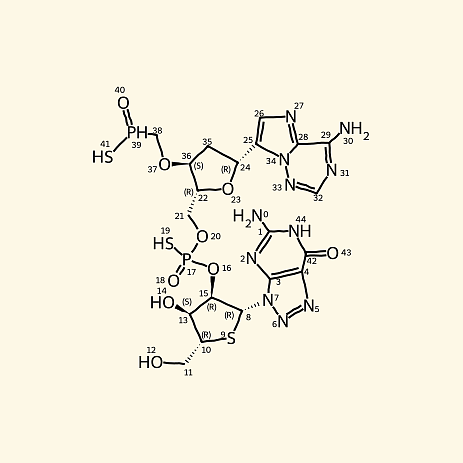 Nc1nc2c(nnn2[C@@H]2S[C@H](CO)[C@@H](O)[C@H]2OP(=O)(S)OC[C@H]2O[C@@H](c3cnc4c(N)ncnn34)C[C@@H]2OC[PH](=O)S)c(=O)[nH]1